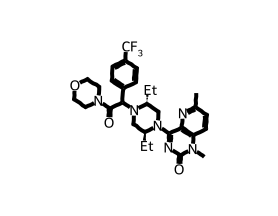 CC[C@H]1CN(C(C(=O)N2CCOCC2)c2ccc(C(F)(F)F)cc2)[C@H](CC)CN1c1nc(=O)n(C)c2ccc(C)nc12